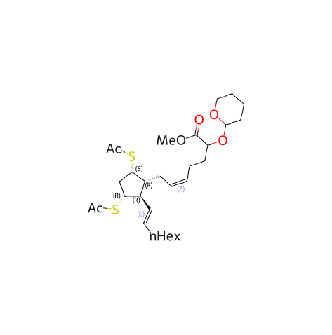 CCCCCC/C=C/[C@@H]1[C@@H](C/C=C\CCC(OC2CCCCO2)C(=O)OC)[C@@H](SC(C)=O)C[C@H]1SC(C)=O